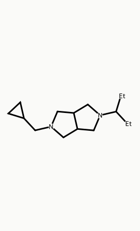 CCC(CC)N1CC2CN(CC3CC3)CC2C1